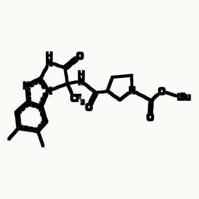 Cc1cc2nc3n(c2cc1C)C(NC(=O)C1CCN(C(=O)OC(C)(C)C)C1)(C(F)(F)F)C(=O)N3